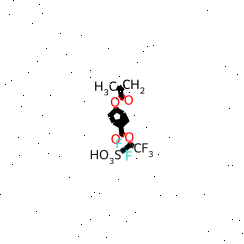 C=C(C)C(=O)OC1CC2CC1CC2C(=O)OC(C(F)(F)F)C(F)(F)S(=O)(=O)O